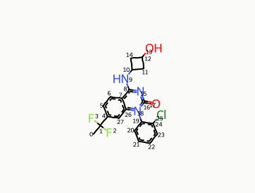 CC(F)(F)c1ccc2c(NC3CC(O)C3)nc(=O)n(-c3ccccc3Cl)c2c1